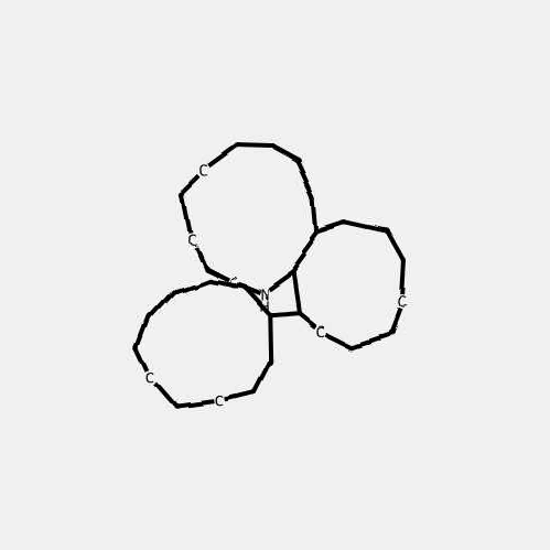 C1CCCCCC(C2CCCCCCCC3CCCCCCCCCNC32)CCCC1